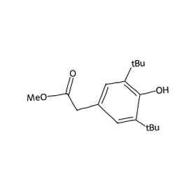 COC(=O)Cc1cc(C(C)(C)C)c(O)c(C(C)(C)C)c1